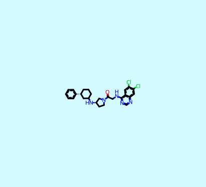 O=C(CNc1ncnc2cc(Cl)c(Cl)cc12)N1CC[C@@H](NC2CCC[C@@H](c3ccccc3)C2)C1